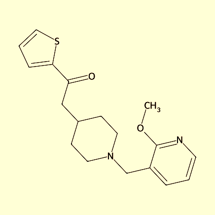 COc1ncccc1CN1CCC(CC(=O)c2cccs2)CC1